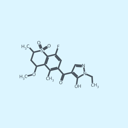 CCn1ncc(C(=O)c2cc(F)c3c(c2C)C(OC)CC(C)S3(=O)=O)c1O